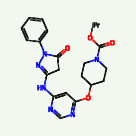 CC(C)OC(=O)N1CCC(Oc2cc(NC3=NN(c4ccccc4)C(=O)C3)ncn2)CC1